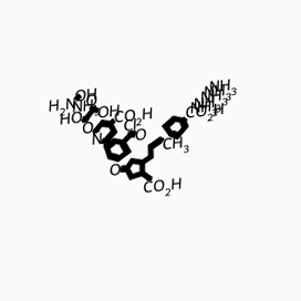 C/C=C\CC1CC(=O)CC1CC(=O)O.N.N.N.N.N.N.NO.O=C(Cl)c1ccccc1.O=C(O)C(=O)O.O=C(O)c1ccccc1.O=C(O)c1ccncc1